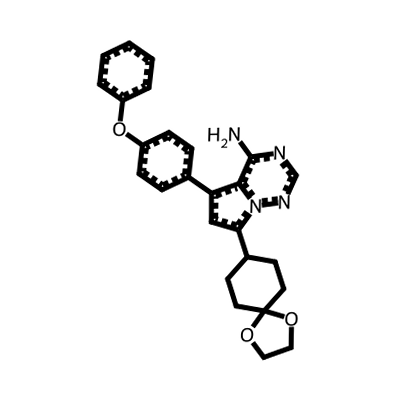 Nc1ncnn2c(C3CCC4(CC3)OCCO4)cc(-c3ccc(Oc4ccccc4)cc3)c12